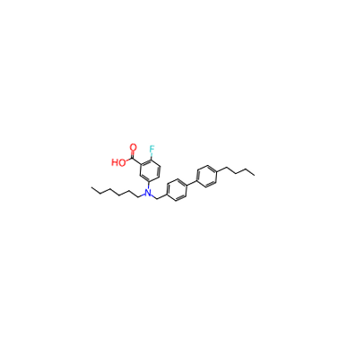 CCCCCCN(Cc1ccc(-c2ccc(CCCC)cc2)cc1)c1ccc(F)c(C(=O)O)c1